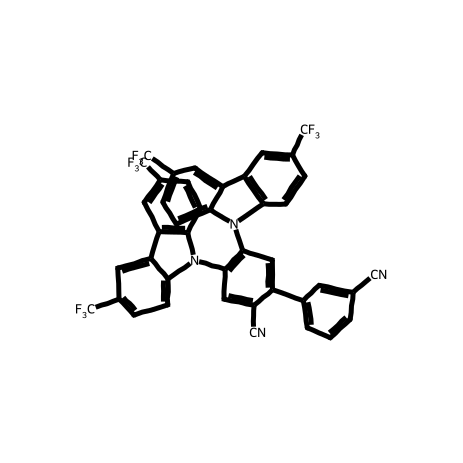 N#Cc1cccc(-c2cc(-n3c4ccc(C(F)(F)F)cc4c4cc(C(F)(F)F)ccc43)c(-n3c4ccc(C(F)(F)F)cc4c4cc(C(F)(F)F)ccc43)cc2C#N)c1